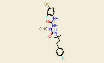 CC(C)(CCc1ccc(F)cc1)NC(=O)N(C=O)NC(=O)Nc1ccc(Br)cc1F